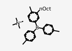 CCCCCCCCc1cc(B(c2ccc(C)cc2)c2ccc(C)cc2)ccc1C.C[N+](C)(C)C